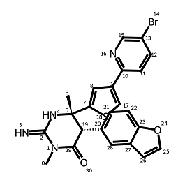 CN1C(=N)N[C@](C)(c2cc(-c3ccc(Br)cn3)cs2)[C@H](c2ccc3occc3c2)C1=O